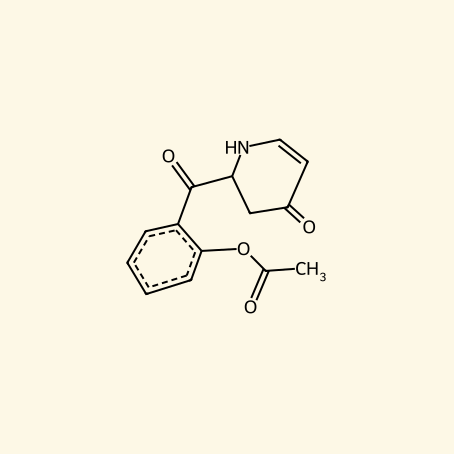 CC(=O)Oc1ccccc1C(=O)C1CC(=O)C=CN1